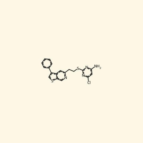 Nc1cc(Cl)nc(SCCc2cc3c(-c4ccccc4)csc3cn2)n1